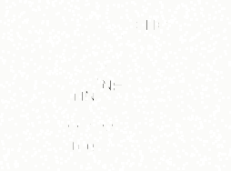 CC(C)(C)OC(=O)NNCCCC=O